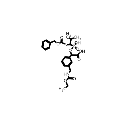 CCOC(=O)NCc1cccc(C(OP(=O)(O)C(NC(=O)OCc2ccccc2)C(C)C)C(=O)O)c1